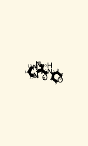 O=C(NC1CCOCC1)c1cnn2cccnc12